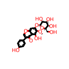 COc1c(O[C@@H]2O[C@H](CO)[C@@H](O)[C@H](O)[C@H]2O)cc2occ(-c3ccc(O)cc3)c(=O)c2c1O